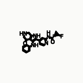 O=C1CNCc2[nH]c(-c3ccnc(NC(=O)[C@H]4CC4F)c3)c(Nc3ccccc3)c21